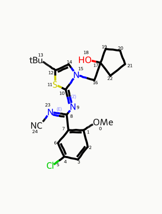 COc1ccc(Cl)cc1C(/N=c1\sc(C(C)(C)C)cn1CC1(O)CCCC1)=N\C#N